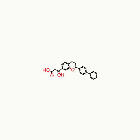 O=C(O)C[C@@H](O)c1ccc2c(c1)OC(c1ccc(-c3ccccc3)cc1)CC2